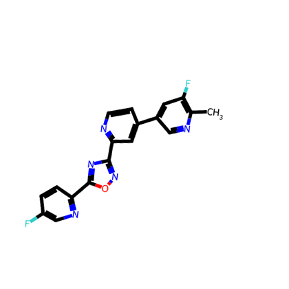 Cc1ncc(-c2ccnc(-c3noc(-c4ccc(F)cn4)n3)c2)cc1F